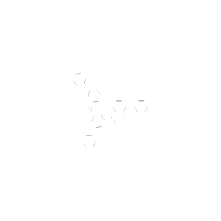 c1ccc(-c2cc3c4c(c2)N2CCc5c(-c6ccccc6)ccc(c52)B4c2ccc(-c4ccccc4)c4c2N3CC4)cc1